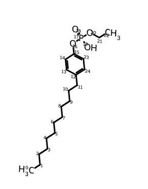 CCCCCCCCCCCCc1ccc(OP(=O)(O)OCC)cc1